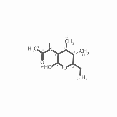 CCC1OC(O)C(NC(C)=O)[C@@H](C)[C@@H]1C